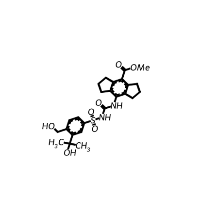 COC(=O)c1c2c(c(NC(=O)NS(=O)(=O)c3ccc(CO)c(C(C)(C)O)c3)c3c1CCC3)CCC2